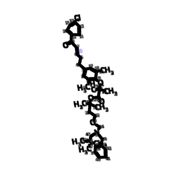 Cc1cc(CC/C=C/C(=O)c2ccc(Cl)cc2)cc(C)c1OC(C)(C)C(=O)OC(C)(C)CCOCN(Cc1ccccc1)C[Si](C)(C)C